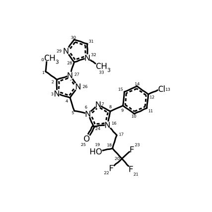 CCc1nc(Cn2nc(-c3ccc(Cl)cc3)n(CC(O)C(F)(F)F)c2=O)nn1-c1nccn1C